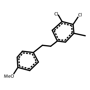 COc1ccc(CCc2cc(C)c(Cl)c(Cl)c2)cc1